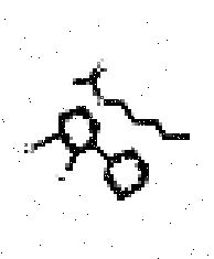 CCCCCOC(C)=O.Clc1cccc(-c2ccccc2)c1Cl